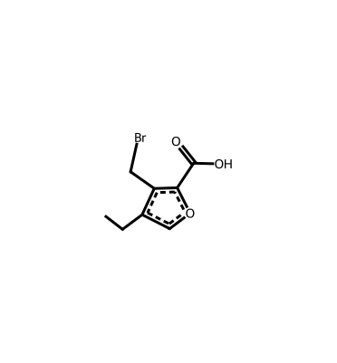 CCc1coc(C(=O)O)c1CBr